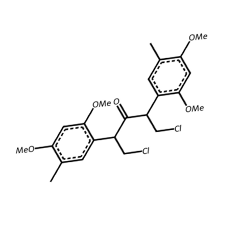 COc1cc(OC)c(C(CCl)C(=O)C(CCl)c2cc(C)c(OC)cc2OC)cc1C